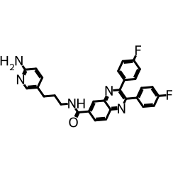 Nc1ccc(CCCNC(=O)c2ccc3nc(-c4ccc(F)cc4)c(-c4ccc(F)cc4)nc3c2)cn1